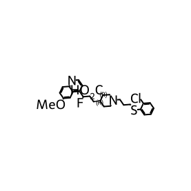 COc1ccc2nccc(C(F)CC[C@@H]3CCN(CCCSc4ccccc4Cl)C[C@@H]3C(=O)O)c2c1